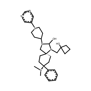 CN(C)[C@]1(c2ccccc2)CC[C@]2(CC1)CN(C1CCN(c3cncnc3)CC1)C(O)N2CC1(O)CCC1